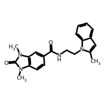 Cc1cc2ccccc2n1CCNC(=O)c1ccc2c(c1)n(C)c(=O)n2C